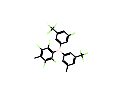 Cc1cc(B(c2cc(F)cc(C(F)(F)F)c2)c2c(F)c(F)c(C)c(F)c2F)cc(C(F)(F)F)c1